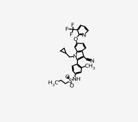 CCCS(=O)(=O)Nc1ccc(-c2c(C#N)c3ccc(Oc4ncccc4C(F)(F)F)cc3n2CC2CC2)c(C)c1